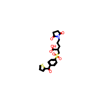 O=C(c1ccc(S(=O)(=O)CC(CCCN2C(=O)CCC2=O)C(=O)O)cc1)c1cccs1